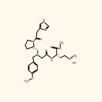 COC(=O)[C@H](CCSC)NC(=O)CN(Cc1ccc(OC)cc1)C[C@@H]1CCCN1C(=O)Cc1c[nH]cn1.Cl